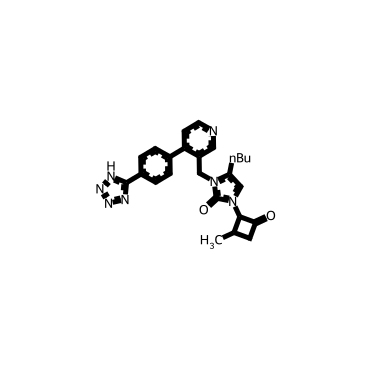 CCCCc1cn(C2C(=O)CC2C)c(=O)n1Cc1cnccc1-c1ccc(-c2nnn[nH]2)cc1